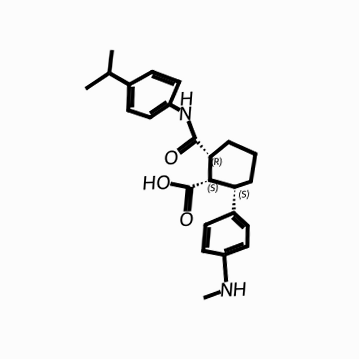 CNc1ccc([C@H]2CCC[C@@H](C(=O)Nc3ccc(C(C)C)cc3)[C@H]2C(=O)O)cc1